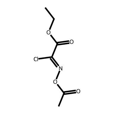 CCOC(=O)C(Cl)=NOC(C)=O